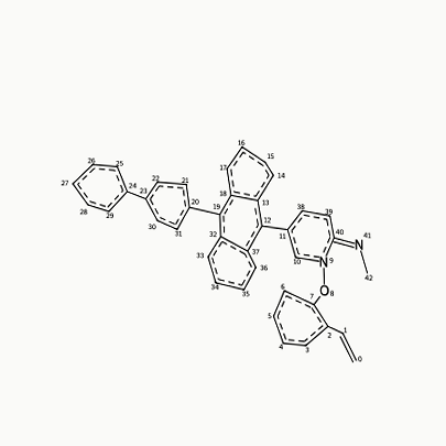 C=Cc1ccccc1On1cc(-c2c3ccccc3c(-c3ccc(-c4ccccc4)cc3)c3ccccc23)cc/c1=N/C